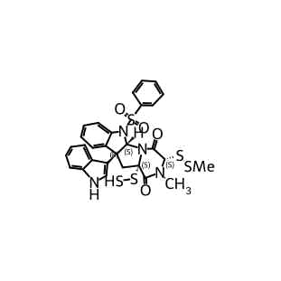 CSS[C@H]1C(=O)N2[C@H]3N(S(=O)(=O)c4ccccc4)c4ccccc4[C@@]3(c3c[nH]c4ccccc34)C[C@]2(SS)C(=O)N1C